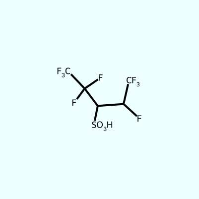 O=S(=O)(O)C(C(F)C(F)(F)F)C(F)(F)C(F)(F)F